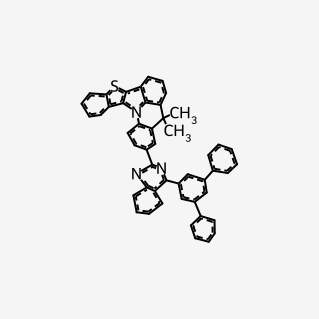 CC1(C)c2cc(-c3nc(-c4cc(-c5ccccc5)cc(-c5ccccc5)c4)c4ccccc4n3)ccc2-n2c3c1cccc3c1sc3ccccc3c12